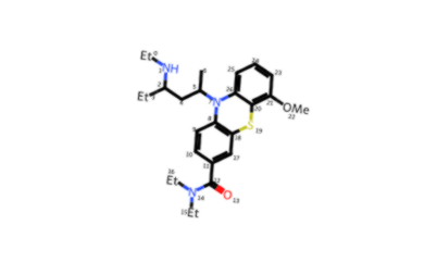 CCNC(CC)CC(C)N1c2ccc(C(=O)N(CC)CC)cc2Sc2c(OC)cccc21